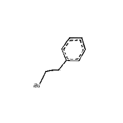 [CH2]CC(C)C[CH]c1ccccc1